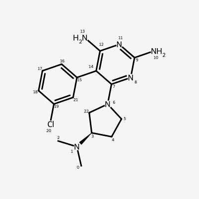 CN(C)[C@@H]1CCN(c2nc(N)nc(N)c2-c2cccc(Cl)c2)C1